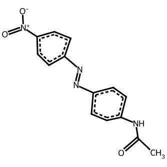 CC(=O)Nc1ccc(N=Nc2ccc([N+](=O)[O-])cc2)cc1